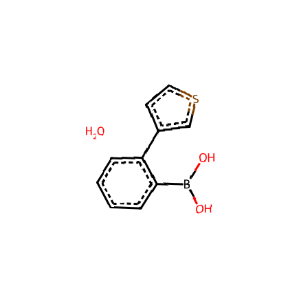 O.OB(O)c1ccccc1-c1ccsc1